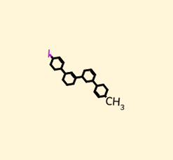 CC1C=CC(C2C=CCC(C3=CC(C4C=CC(I)CC4)CCC3)C2)CC1